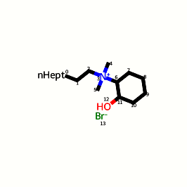 CCCCCCCCC[N+](C)(C)C1CCCCC1O.[Br-]